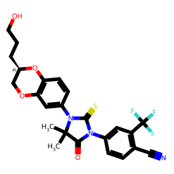 CC1(C)C(=O)N(c2ccc(C#N)c(C(F)(F)F)c2)C(=S)N1c1ccc2c(c1)OC[C@@H](CCCO)O2